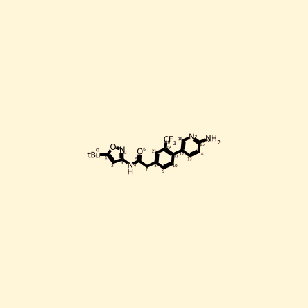 CC(C)(C)c1cc(NC(=O)Cc2ccc(-c3ccc(N)nc3)c(C(F)(F)F)c2)no1